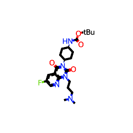 CN(C)CCCn1c(=O)n([C@H]2CC[C@@H](NC(=O)OC(C)(C)C)CC2)c(=O)c2cc(F)cnc21